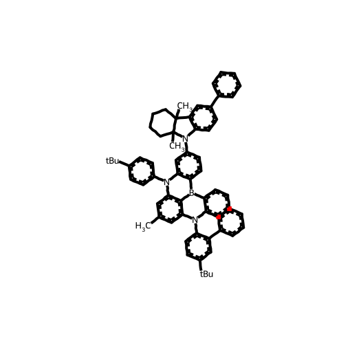 Cc1cc2c3c(c1)N(c1ccc(C(C)(C)C)cc1-c1ccccc1)c1ccccc1B3c1ccc(N3c4ccc(-c5ccccc5)cc4C4(C)CCCCC34C)cc1N2c1ccc(C(C)(C)C)cc1